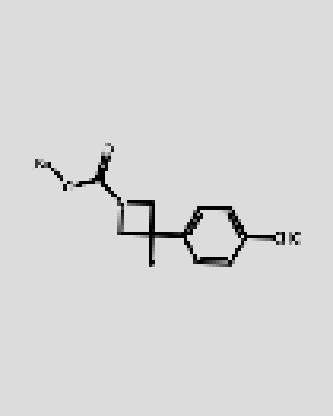 CC(C)(C)OC(=O)N1CC(F)(c2ccc(C=O)cc2)C1